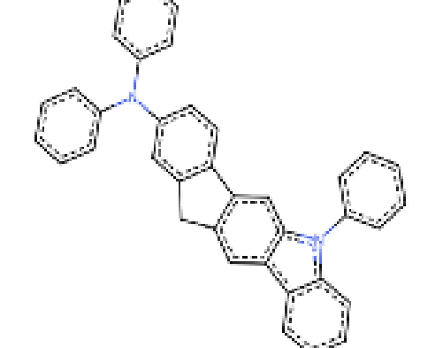 c1ccc(N(c2ccccc2)c2ccc3c(c2)Cc2cc4c5ccccc5n(-c5ccccc5)c4cc2-3)cc1